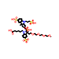 COCCOCCOCCOCCC1(C)C(/C=C/C=C2/N(CCCS(=O)(=O)O)c3ccc(S(=O)(=O)O)cc3C2(C)CCCS(=O)(=O)O)=[N+](CCCCCC(=O)O)c2ccc(S(=O)(=O)[O-])cc21